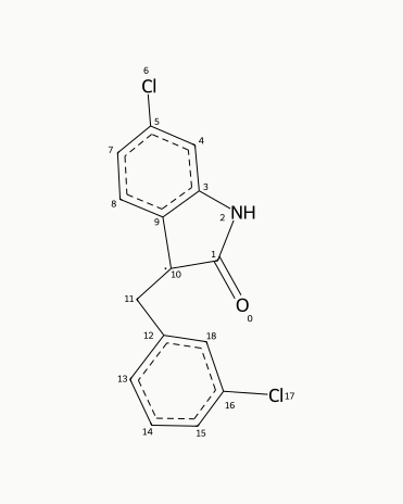 O=C1Nc2cc(Cl)ccc2[C]1Cc1cccc(Cl)c1